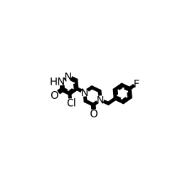 O=C1CN(c2cn[nH]c(=O)c2Cl)CCN1Cc1ccc(F)cc1